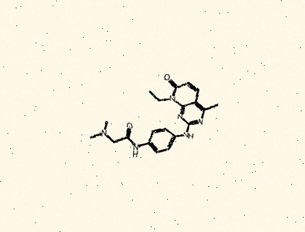 CCn1c(=O)ccc2c(C)nc(Nc3ccc(NC(=O)CN(C)C)cc3)nc21